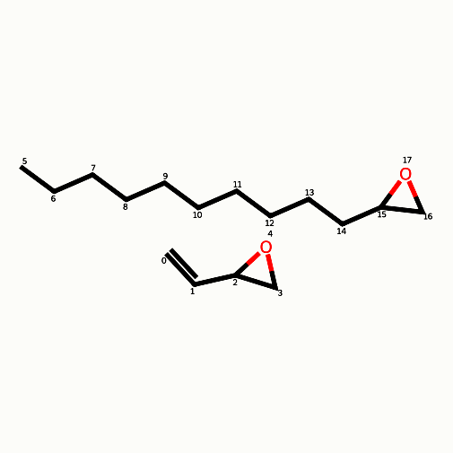 C=CC1CO1.CCCCCCCCCCC1CO1